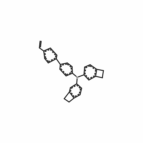 C=Cc1ccc(-c2ccc(N(c3ccc4c(c3)CC4)c3ccc4c(c3)CC4)cc2)cc1